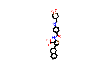 O=C(Nc1scc(C2CCc3ccccc3C2)c1C(=O)O)c1ccc(NCC2CCS(=O)(=O)CC2)cc1